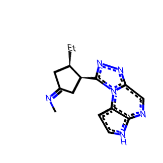 CC[C@@H]1C/C(=N/C)C[C@@H]1c1nnc2cnc3[nH]ccc3n12